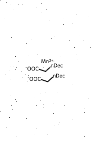 CCCCCCCCCCCC(=O)[O-].CCCCCCCCCCCC(=O)[O-].[Mn+2]